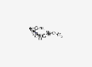 Cc1ccc(C(C)C)c(N2C(=O)CS/C2=N\C(=O)NC2=C(c3ccc(-c4ncn(-c5ccc(OC(F)(F)F)cc5)n4)cc3)CCC2)c1